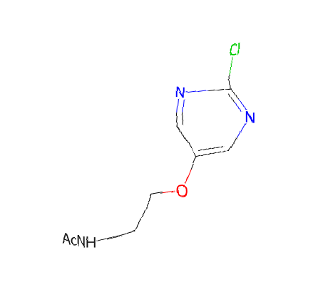 CC(=O)NCCOc1cnc(Cl)nc1